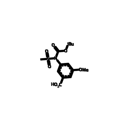 COc1cc(C(=O)O)cc(N(C(=O)OC(C)(C)C)S(C)(=O)=O)c1